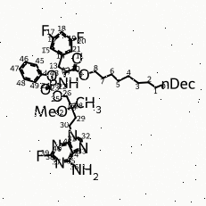 CCCCCCCCCCCCCCCCCCOC(=O)[C@H](Cc1cc(F)cc(F)c1)NP(=O)(OC[C@](C)(CCn1cnc2c(N)nc(F)nc21)OC)Oc1ccccc1